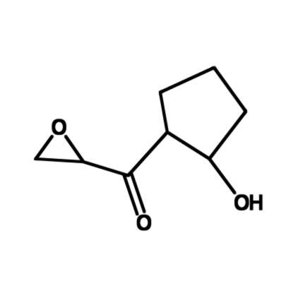 O=C(C1CO1)C1CCCC1O